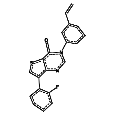 C=Cc1cccc(-n2cnc3c(-c4ccccc4F)csc3c2=O)c1